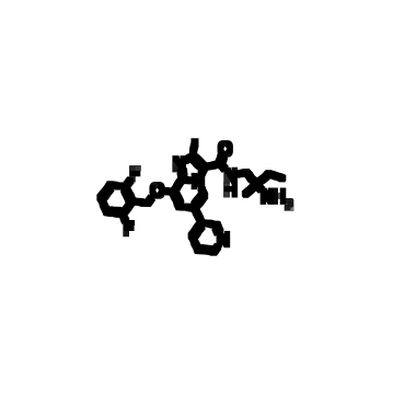 CCC(C)(N)CNC(=O)c1c(C)nc2c(OCc3c(F)cccc3F)cc(-c3cccnc3)cn12